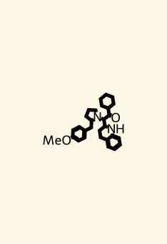 COc1ccc(CC2CCCN2C(C(=O)C2CCCCC2)C2CCc3ccccc3N2)cc1